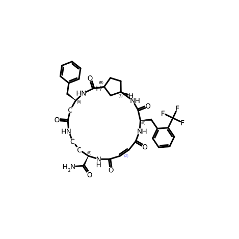 NC(=O)[C@H]1CCNC(=O)C[C@@H](Cc2ccccc2)NC(=O)[C@@H]2CC[C@@H](C2)NC(=O)[C@@H](Cc2ccccc2C(F)(F)F)NC(=O)/C=C\C(=O)N1